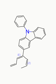 C=C/C=C(\C=C/C)c1ccc2c(c1)c1ccccc1n2-c1ccccc1